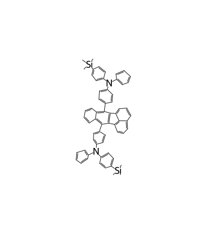 C[Si](C)(C)c1ccc(N(c2ccccc2)c2ccc(-c3c4c(c(-c5ccc(N(c6ccccc6)c6ccc([Si](C)(C)C)cc6)cc5)c5ccccc35)-c3cccc5cccc-4c35)cc2)cc1